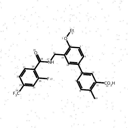 CCOc1ccc(-c2ccc(C)c(C(=O)O)c2)cc1CNC(=O)c1ccc(C(F)(F)F)cc1F